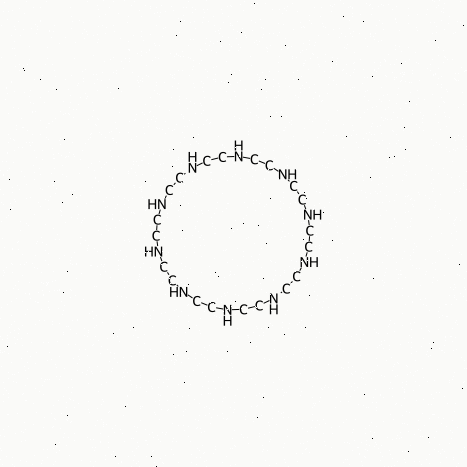 C1CNCCNCCNCCNCCNCCNCCNCCNCCNCCN1